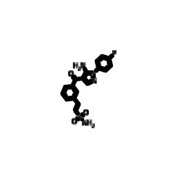 Nc1c(C(=O)c2cccc(/C=C/S(N)(=O)=O)c2)cnn1-c1ccc(F)cc1